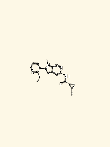 CCc1ncccc1-c1cc2cc(NC(=O)C3CC3F)ncc2n1C